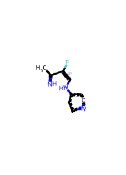 CC(=N)/C(F)=C\Nc1ccncc1